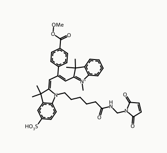 COOC(=O)c1ccc(C(=C\C2=[N+](C)c3ccccc3C2(C)C)/C=C2\N(CCCCCC(=O)NCN3C(=O)C=CC3=O)c3ccc(S(=O)(=O)O)cc3C2(C)C)cc1